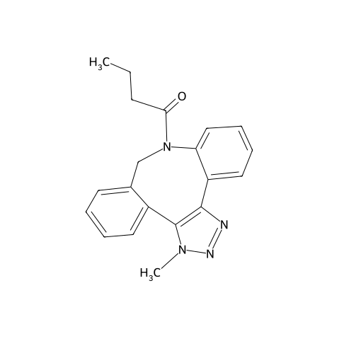 CCCC(=O)N1Cc2ccccc2-c2c(nnn2C)-c2ccccc21